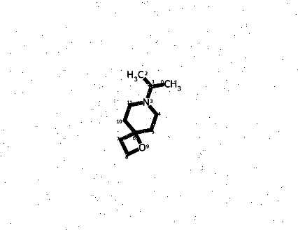 CC(C)N1CCC2(CCO2)CC1